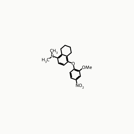 COc1cc([N+](=O)[O-])ccc1Oc1ccc(N(C)C)c2c1CCCC2